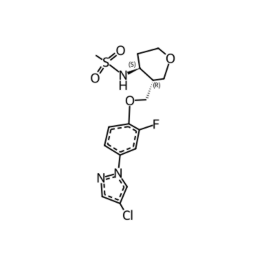 CS(=O)(=O)N[C@H]1CCOC[C@@H]1COc1ccc(-n2cc(Cl)cn2)cc1F